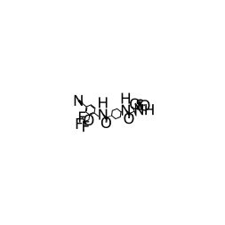 CC(C)(NS(C)(=O)=O)C(=O)N[C@H]1CC[C@@H](C(=O)NCc2ccc(C#N)cc2OC(F)(F)F)CC1